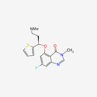 CNCC[C@@H](Oc1cc(F)cc2ncn(C)c(=O)c12)c1cccs1